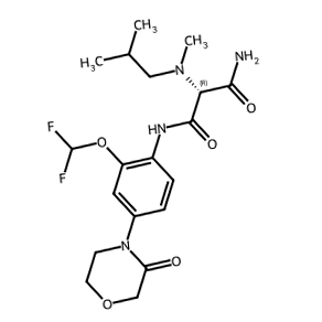 CC(C)CN(C)[C@H](C(N)=O)C(=O)Nc1ccc(N2CCOCC2=O)cc1OC(F)F